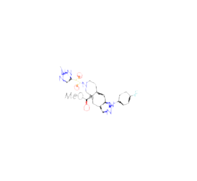 COC(=O)[C@]12Cc3cnn(C4=CC=C(F)CC4)c3C=C1CCN(S(=O)(=O)c1cnn(C)n1)C2